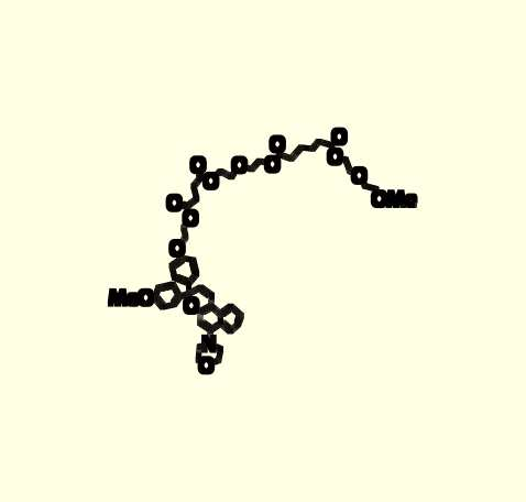 COCCOCCOC(=O)CCCCC(=O)OCCOCCOC(=O)CCC(=O)OCCOc1ccc(C2(c3ccc(OC)cc3)C=Cc3c(cc(N4CCOCC4)c4ccccc34)O2)cc1